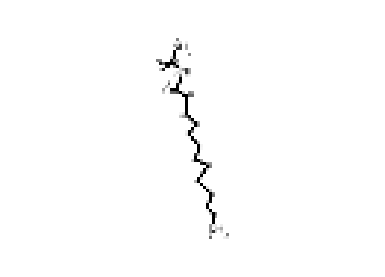 NCCCCCCCCCCCC(=O)NC(N)=O